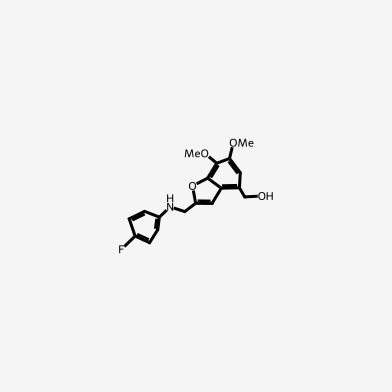 COc1cc(CO)c2cc(CNc3ccc(F)cc3)oc2c1OC